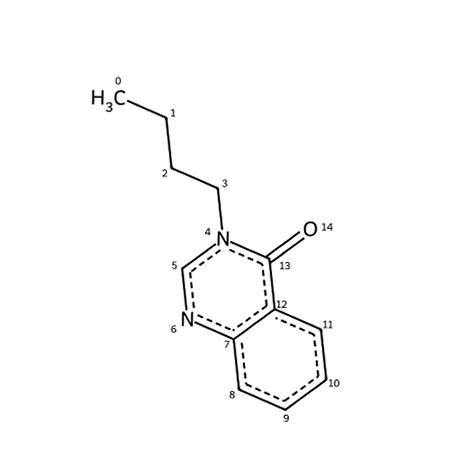 CCCCn1cnc2ccccc2c1=O